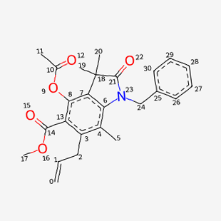 C=CCc1c(C)c2c(c(OC(C)=O)c1C(=O)OC)C(C)(C)C(=O)N2Cc1ccccc1